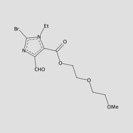 CCn1c(Br)nc(C=O)c1C(=O)OCCOCCOC